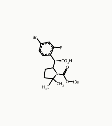 CC(C)(C)OC(=O)N1C([C@H](C(=O)O)c2ccc(Br)cc2F)CCC1(C)C